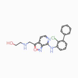 OCCNCc1onc2c(Nc3cccc(-c4ccccc4)c3Cl)nccc12